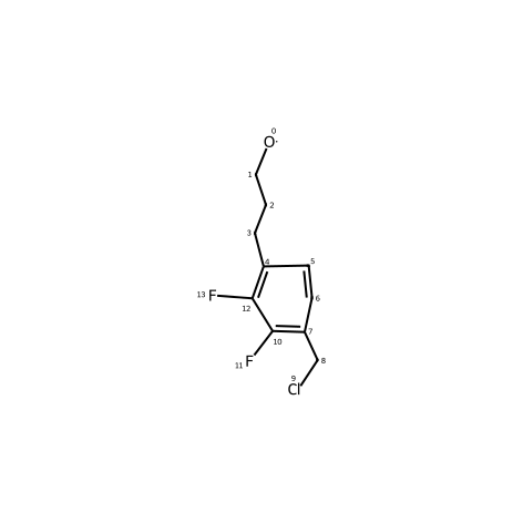 [O]CCCc1ccc(CCl)c(F)c1F